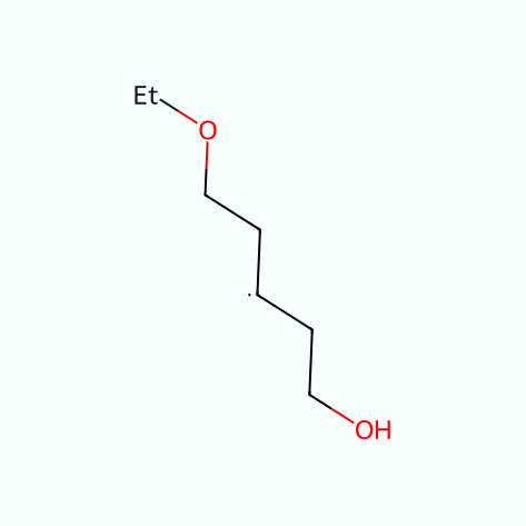 CCOCC[CH]CCO